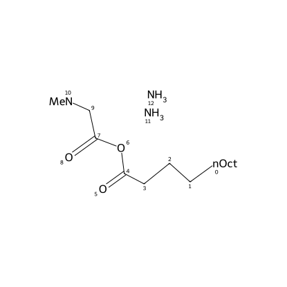 CCCCCCCCCCCC(=O)OC(=O)CNC.N.N